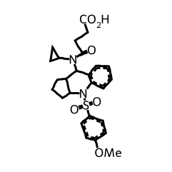 COc1ccc(S(=O)(=O)N2c3ccccc3C(N(C(=O)CCC(=O)O)C3CC3)C3CCCC32)cc1